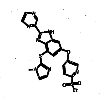 CCS(=O)(=O)c1ccc(Oc2cc(Sc3nccn3C)c3nc(-c4cnccn4)[nH]c3c2)cn1